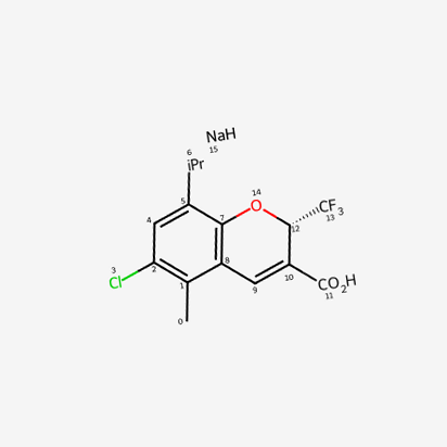 Cc1c(Cl)cc(C(C)C)c2c1C=C(C(=O)O)[C@@H](C(F)(F)F)O2.[NaH]